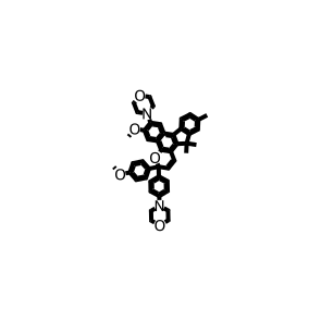 COc1ccc(C2(c3ccc(N4CCOCC4)cc3)C=Cc3c4c(c5cc(N6CCOCC6)c(OC)cc5c3O2)-c2ccc(C)cc2C4(C)C)cc1